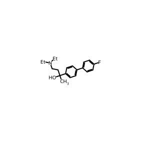 CCN(CC)CCC(C)(O)c1ccc(-c2ccc(F)cc2)cc1